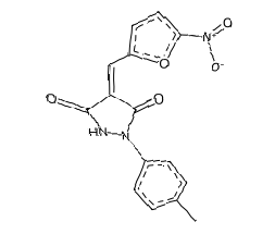 Cc1ccc(N2NC(=O)/C(=C/c3ccc([N+](=O)[O-])o3)C2=O)cc1